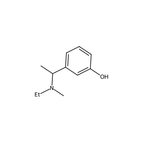 CCN(C)C(C)c1cccc(O)c1